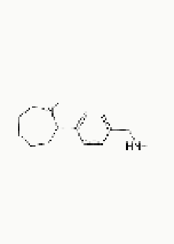 CNCc1ccc(C2CCCCCN2F)cc1